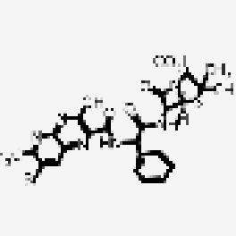 Cc1nc2nc(O)c(C(=O)NC(C(=O)NC3C(=O)N4[C@@H]3SC(C)(C)[C@@H]4C(=O)O)c3ccccc3)nc2cc1Br